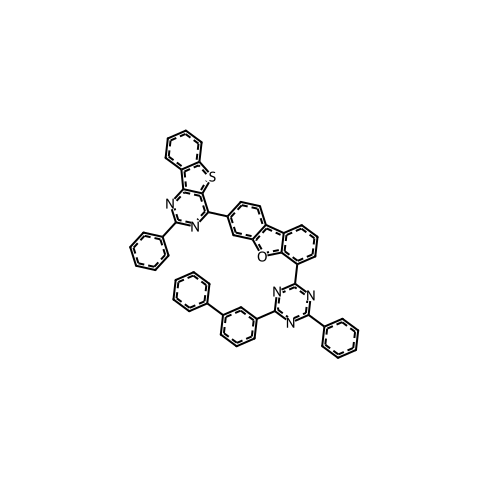 c1ccc(-c2cccc(-c3nc(-c4ccccc4)nc(-c4cccc5c4oc4cc(-c6nc(-c7ccccc7)nc7c6sc6ccccc67)ccc45)n3)c2)cc1